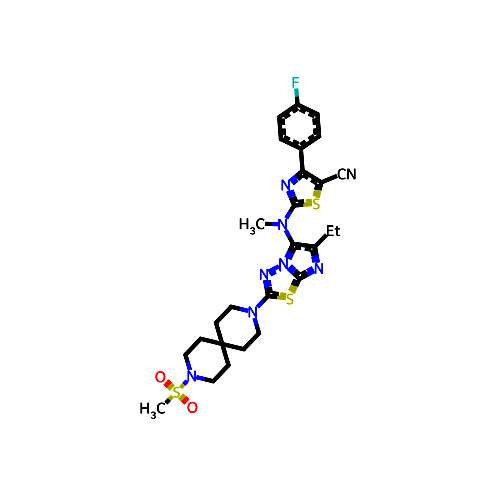 CCc1nc2sc(N3CCC4(CC3)CCN(S(C)(=O)=O)CC4)nn2c1N(C)c1nc(-c2ccc(F)cc2)c(C#N)s1